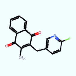 CC1=C(Cc2ccc(F)nc2)C(=O)c2ccccc2C1=O